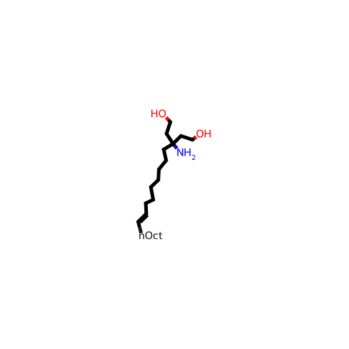 CCCCCCCCC=CCCCCCCCC(N)(CCO)CCO